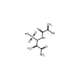 C=[C]([Na])C(=O)NC(C(=C)C(N)=O)S(=O)(=O)O